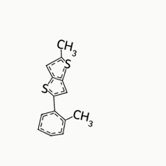 Cc1cc2sc(-c3ccccc3C)cc2s1